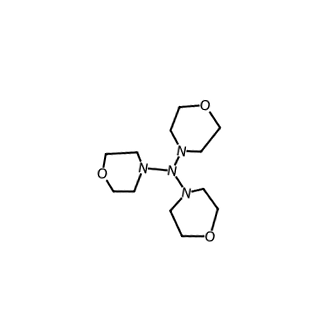 C1CN(N(N2CCOCC2)N2CCOCC2)CCO1